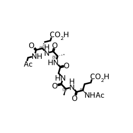 CC(=O)CNC(=O)[C@H](CCC(=O)O)NC(=O)[C@H](C)NC(=O)CNC(=O)[C@H](C)NC(=O)[C@H](CCC(=O)O)NC(C)=O